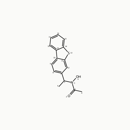 CC(=O)N(O)C(C)c1ccc2c(c1)sc1ccccc12